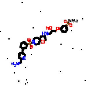 CNS(=O)(=O)c1cccc(OC[C@@H](O)CNC2COC3(CCN(S(=O)(=O)c4cccc(-c5ccc(CN)nc5)c4)CC3)C2)c1